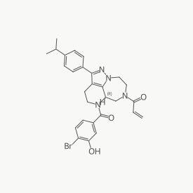 C=CC(=O)N1CCn2nc(-c3ccc(C(C)C)cc3)c3c2[C@@H](C1)N(C(=O)c1ccc(Br)c(O)c1)CC3